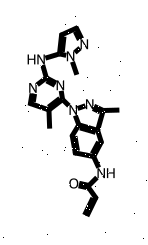 C=CC(=O)Nc1ccc2c(c1)c(C)nn2-c1nc(Nc2ccnn2C)ncc1C